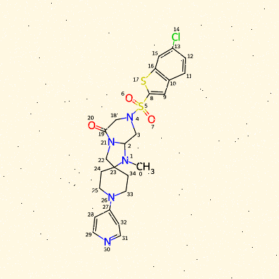 CN1C2CN(S(=O)(=O)c3cc4ccc(Cl)cc4s3)CC(=O)N2CC12CCN(c1ccncc1)CC2